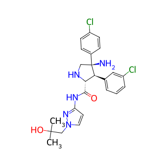 CC(C)(O)Cn1ccc(NC(=O)[C@@H]2NC[C@](N)(c3ccc(Cl)cc3)[C@H]2c2cccc(Cl)c2)n1